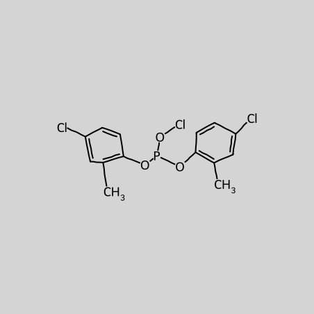 Cc1cc(Cl)ccc1OP(OCl)Oc1ccc(Cl)cc1C